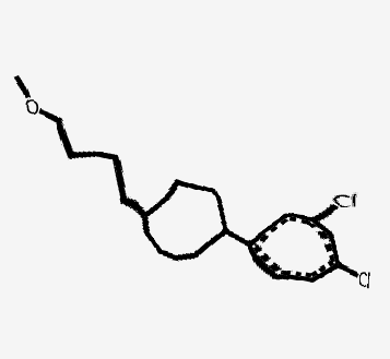 COCCCCC1CCC(c2ccc(Cl)c(Cl)c2)CC1